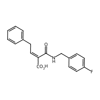 O=C(O)/C(=C/Cc1ccccc1)C(=O)NCc1ccc(F)cc1